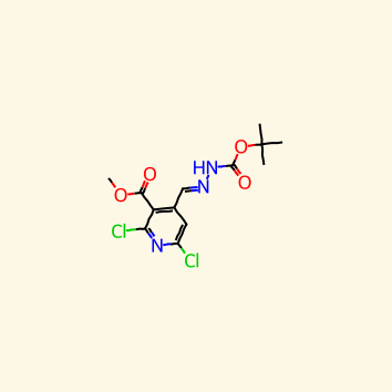 COC(=O)c1c(C=NNC(=O)OC(C)(C)C)cc(Cl)nc1Cl